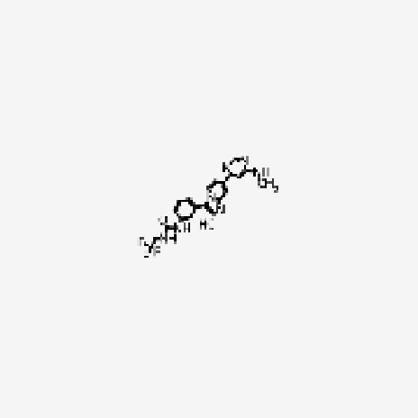 CNc1cc(-c2ccn3c(-c4cccc(NC(=O)NCC(F)(F)F)c4)cnc3c2)ncn1.Cl